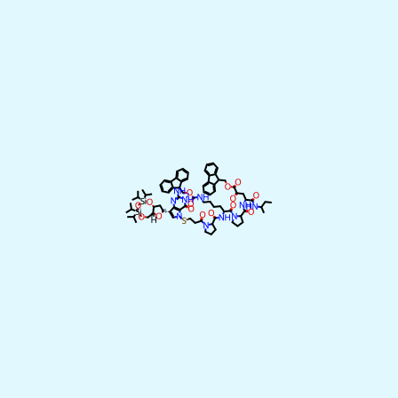 CCC(C)NC(=O)C(CC(=O)C(=O)OCC1c2ccccc2-c2ccccc21)NC(=O)C1CCCN1C(=O)C(CCCCNC(=O)OCC1c2ccccc2-c2ccccc21)NC(=O)C1CCCN1C(=O)CCSn1cc([C@H]2CC3O[Si](C(C)C)(C(C)C)O[Si](C(C)C)(C(C)C)OC[C@H]3O2)c2nc(N)[nH]c(=O)c21